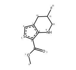 COC(=O)c1scc2c1NCC(F)C2